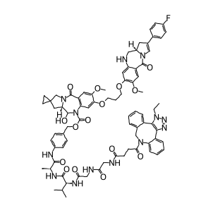 CCn1nnc2c1-c1ccccc1CN(C(=O)CCC(=O)NCC(=O)NCC(=O)N[C@H](C(=O)N[C@@H](C)C(=O)Nc1ccc(COC(=O)N3c4cc(OCCCOc5cc6c(cc5OC)C(=O)N5C=C(c7ccc(F)cc7)C[C@H]5CN6)c(OC)cc4C(=O)N4CC5(CC5)C[C@H]4C3O)cc1)C(C)C)c1ccccc1-2